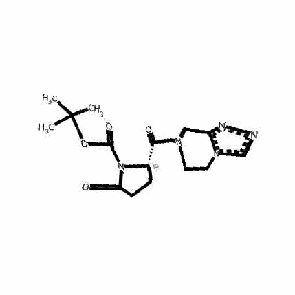 CC(C)(C)OC(=O)N1C(=O)CC[C@H]1C(=O)N1CCn2cnnc2C1